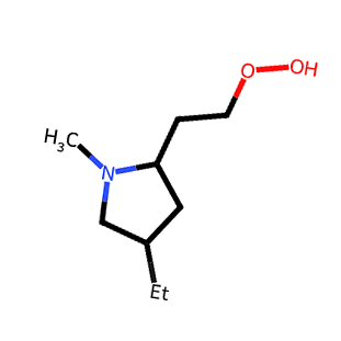 CCC1CC(CCOO)N(C)C1